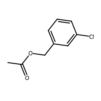 CC(=O)OCc1cccc(Cl)c1